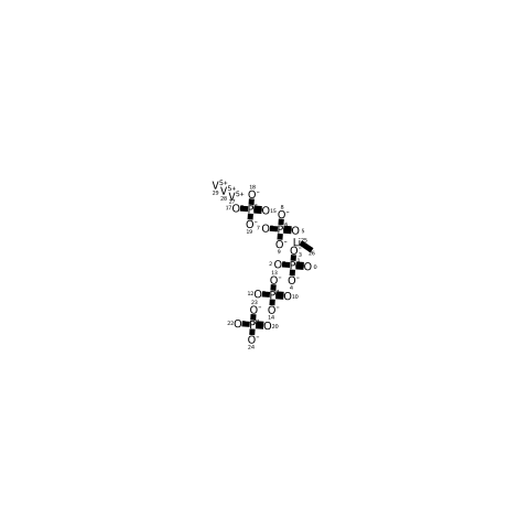 O=P([O-])([O-])[O-].O=P([O-])([O-])[O-].O=P([O-])([O-])[O-].O=P([O-])([O-])[O-].O=P([O-])([O-])[O-].[Li][CH3].[V+5].[V+5].[V+5]